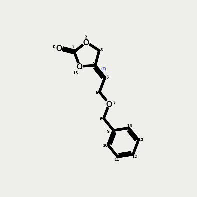 O=C1OC/C(=C/COCc2ccccc2)O1